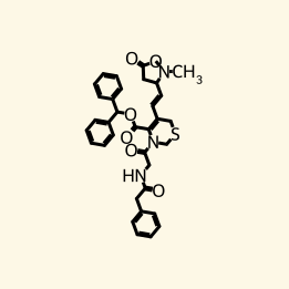 CN1OC(=O)CC1/C=C/C1=C(C(=O)OC(c2ccccc2)c2ccccc2)N(C(=O)CNC(=O)Cc2ccccc2)CSC1